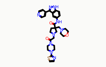 O=C(CN1CCC(CN2CCOCC2)(C(=O)Nc2ccc3[nH]nc(-c4ccncc4)c3c2)C1)N1CCN(c2nccs2)CC1